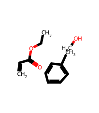 C=CC(=O)OCC.CO.Cc1ccccc1